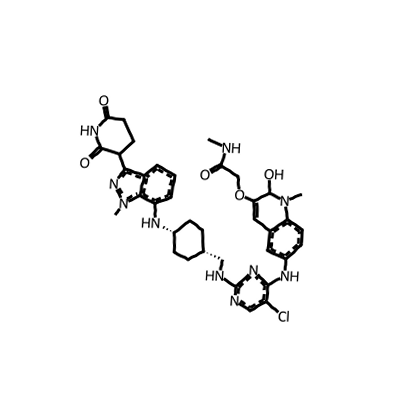 CNC(=O)COC1=Cc2cc(Nc3nc(NC[C@H]4CC[C@@H](Nc5cccc6c(C7CCC(=O)NC7=O)nn(C)c56)CC4)ncc3Cl)ccc2N(C)C1O